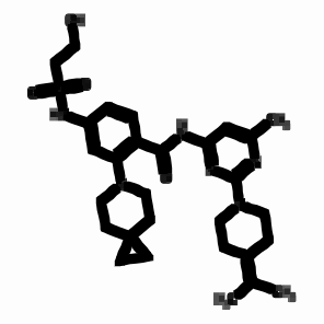 CC(C)=C1CCN(c2nc(C)cc(NC(=O)c3ccc(NS(=O)(=O)CCO)cc3N3CCC4(CC3)CC4)n2)CC1